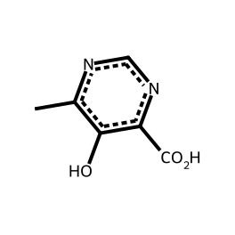 Cc1ncnc(C(=O)O)c1O